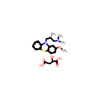 COc1ccc2c(c1)N(C[C@H](C)CN(C)C)c1ccccc1S2.O=C(O)CC(O)C(=O)O